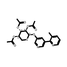 CC(=O)O[C@@H]1[C@@H](OC(C)=O)[C@@H](Oc2cncc(-c3ncccc3C)c2)SC[C@H]1OC(C)=O